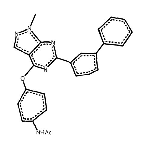 CC(=O)Nc1ccc(Oc2nc(-c3cccc(-c4ccccc4)c3)nc3c2cnn3C)cc1